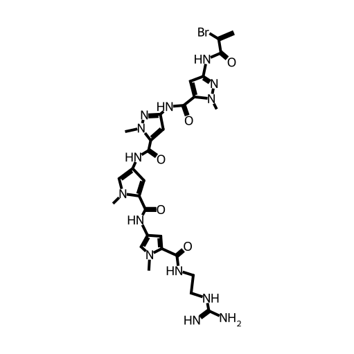 C=C(Br)C(=O)Nc1cc(C(=O)Nc2cc(C(=O)Nc3cc(C(=O)Nc4cc(C(=O)NCCNC(=N)N)n(C)c4)n(C)c3)n(C)n2)n(C)n1